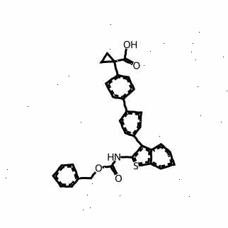 O=C(Nc1sc2ccccc2c1-c1ccc(-c2ccc(C3(C(=O)O)CC3)cc2)cc1)OCc1ccccc1